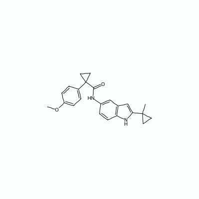 COc1ccc(C2(C(=O)Nc3ccc4[nH]c(C5(C)CC5)cc4c3)CC2)cc1